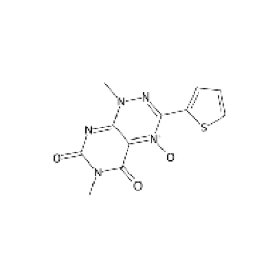 Cn1nc(-c2cccs2)[n+]([O-])c2c(=O)n(C)c(=O)nc1-2